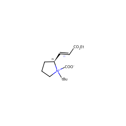 CCOC(=O)/C=C/[C@@H]1CCC[N+]1(C(=O)[O-])C(C)(C)C